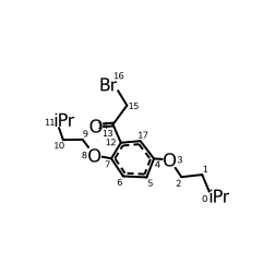 CC(C)CCOc1ccc(OCCC(C)C)c(C(=O)CBr)c1